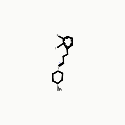 CCC[C@H]1CC[C@H](/C=C/CCc2cccc(F)c2F)CC1